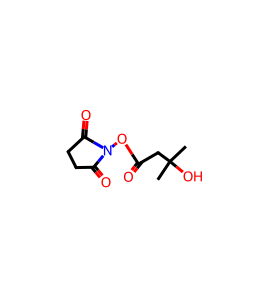 CC(C)(O)CC(=O)ON1C(=O)CCC1=O